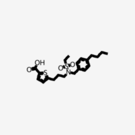 CCCCc1ccc(CN(CCCc2ccc(C(=O)O)s2)S(=O)(=O)CC)cc1